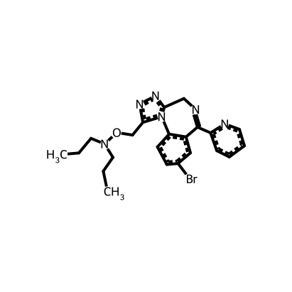 CCCN(CCC)OCc1nnc2n1-c1ccc(Br)cc1C(c1ccccn1)=NC2